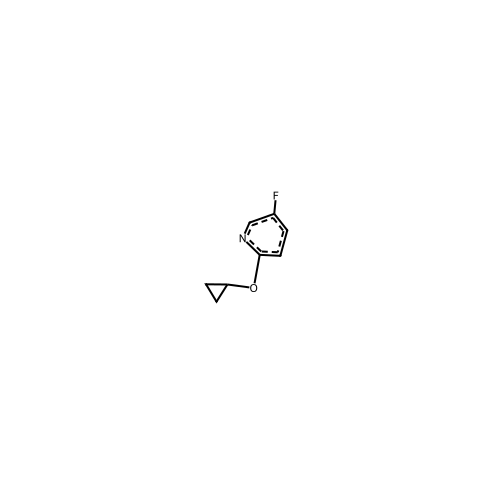 Fc1ccc(OC2CC2)nc1